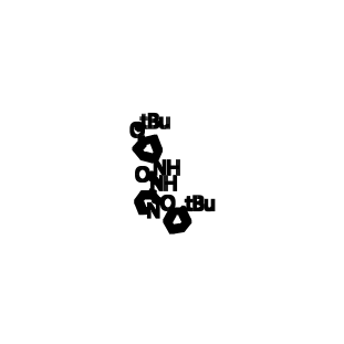 CC(C)(C)Oc1ccc(NC(=O)Nc2cccnc2Oc2ccccc2C(C)(C)C)cc1